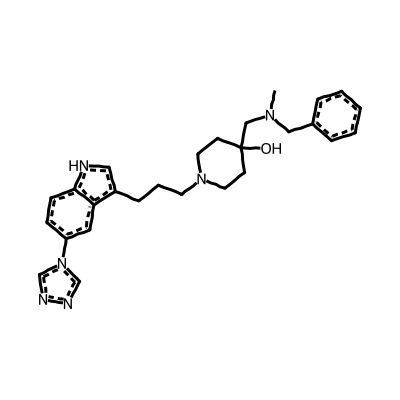 CN(Cc1ccccc1)CC1(O)CCN(CCCc2c[nH]c3ccc(-n4cnnc4)cc23)CC1